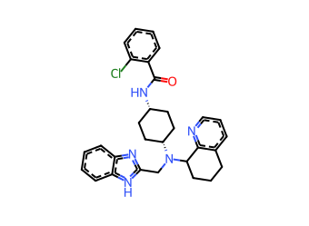 O=C(N[C@H]1CC[C@@H](N(Cc2nc3ccccc3[nH]2)C2CCCc3cccnc32)CC1)c1ccccc1Cl